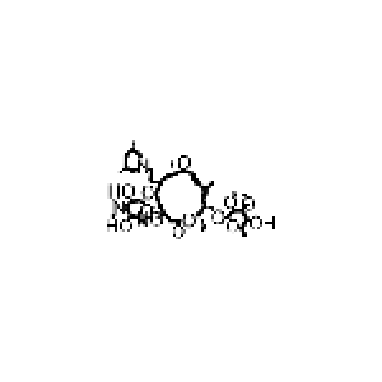 CC[C@H]1OC(=O)C[C@@H](O)[C@H](C)[C@@H](OC2OC(C)C(O)C(N(C)C)C2O)[C@@H](CCN2C[C@@H](C)C[C@H](C)C2)C[C@@H](C)C(=O)/C=C/C(C)=C/[C@@H]1COC1OC(C)C(O)C(OC)C1OC